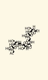 CCC(=O)N[C@@H](CO)C(=O)N[C@@H](CO)C(=O)NCC(=O)N[C@@H](CO)C(=O)N[C@@H](CO)C(=O)NCC(=O)N[C@@H](CO)C(=O)N[C@@H](CO)C(=O)NCC(C)=O